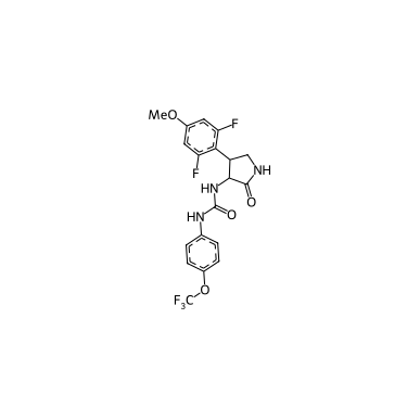 COc1cc(F)c(C2CNC(=O)C2NC(=O)Nc2ccc(OC(F)(F)F)cc2)c(F)c1